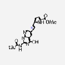 COC(=O)c1ccc(/C=C/c2cnc3nc(NC(=O)C(C)(C)C)nc(O)c3c2)[nH]1